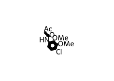 COc1c(Cl)ccc(NC(=O)CC(C)=O)c1OC